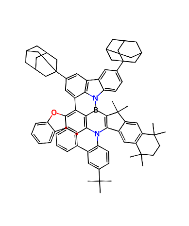 CC(C)(C)c1ccc(N2C3=C(B4c5c2cc2c(oc6ccccc62)c5-c2cc(C56CC7CC(CC(C7)C5)C6)cc5c6cc(C78CC9CC(CC(C9)C7)C8)ccc6n4c25)C(C)(C)c2cc4c(cc23)C(C)(C)CCC4(C)C)c(-c2ccccc2)c1